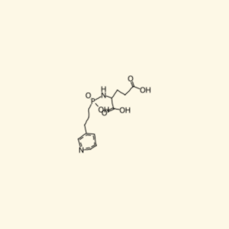 O=C(O)CCC(NP(=O)(O)CCCc1cccnc1)C(=O)O